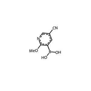 COc1ncc(C#N)cc1B(O)O